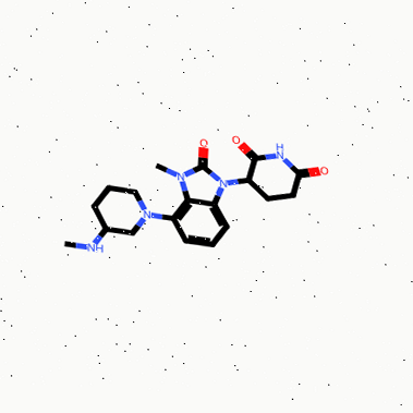 CNC1CCCN(c2cccc3c2n(C)c(=O)n3C2CCC(=O)NC2=O)C1